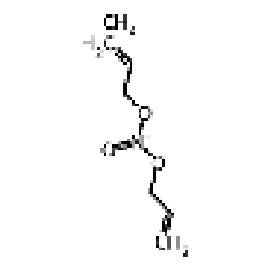 C.C=CCO[N+](=O)OCC=C